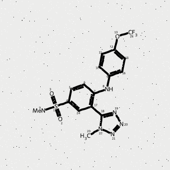 CNS(=O)(=O)c1ccc(Nc2ccc(OC(F)(F)F)cc2)c(-c2nnnn2C)c1